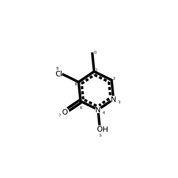 Cc1cnn(O)c(=O)c1Cl